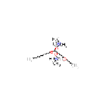 CCCCCCCCCCCCOCC(CCCCCCCOCCCCCC)(COCC[N+](C)(C)CCC)COCC[N+](C)(C)CCC